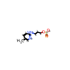 Cc1ccc(NCCCO[SH](=O)=O)nc1